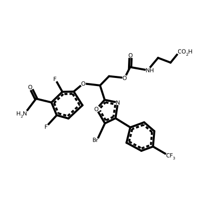 NC(=O)c1c(F)ccc(OC(COC(=O)NCCC(=O)O)c2nc(-c3ccc(C(F)(F)F)cc3)c(Br)o2)c1F